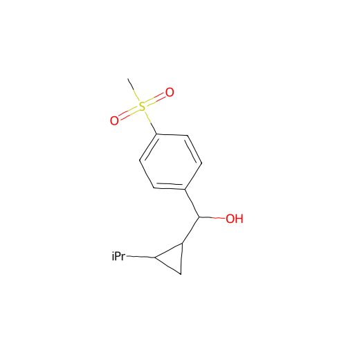 CC(C)C1CC1C(O)c1ccc(S(C)(=O)=O)cc1